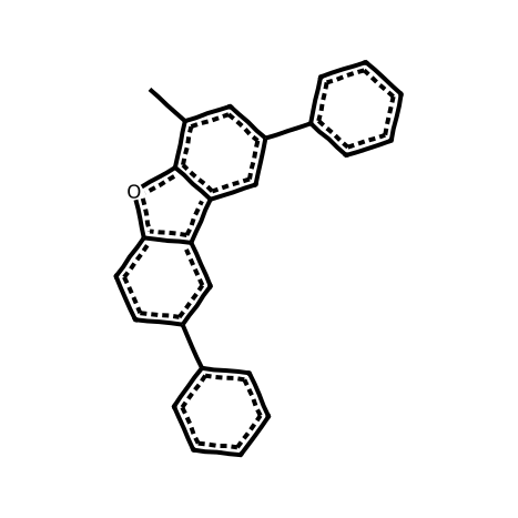 Cc1cc(-c2ccccc2)cc2c1oc1ccc(-c3ccccc3)cc12